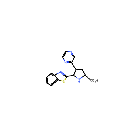 O=C(O)C1CC(c2cnccn2)C(c2nc3ccccc3s2)N1